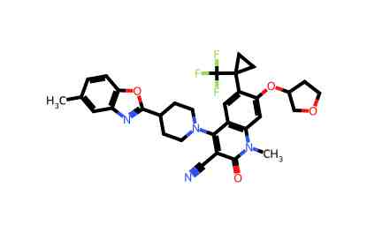 Cc1ccc2oc(C3CCN(c4c(C#N)c(=O)n(C)c5cc(OC6CCOC6)c(C6(C(F)(F)F)CC6)cc45)CC3)nc2c1